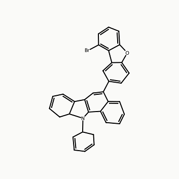 Brc1cccc2oc3ccc(-c4cc5c(c6ccccc46)N(C4C=CC=CC4)C4CC=CC=C54)cc3c12